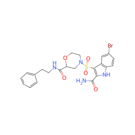 NC(=O)c1[nH]c2ccc(Br)cc2c1S(=O)(=O)N1CCOC(C(=O)NCCc2ccccc2)C1